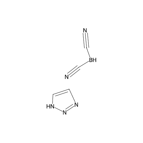 N#CBC#N.c1c[nH]nn1